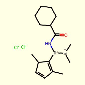 CC1=[C]([Ti+2]([NH]C(=O)C2CCCCC2)[SiH](C)C)C(C)C=C1.[Cl-].[Cl-]